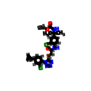 CC(C)(C)OC(=O)NC(C)(C)c1ccc(NC(=O)CSc2nnnn2-c2ccc(C3CC3)cc2Cl)c(Cl)c1